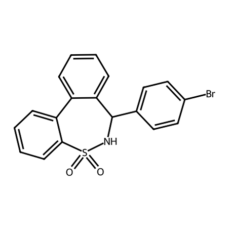 O=S1(=O)NC(c2ccc(Br)cc2)c2ccccc2-c2ccccc21